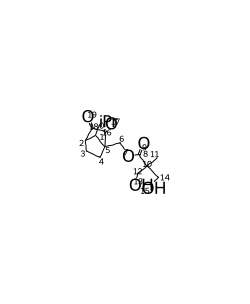 CC(C)C1C2CCC1(COC(=O)C(C)(CO)CO)C(=O)C2=O